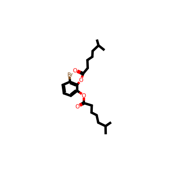 CC(C)CCCCC(=O)Oc1cccc(Br)c1OC(=O)CCCCC(C)C